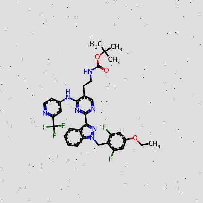 CCOc1cc(F)c(Cn2nc(-c3ncc(CCNC(=O)OC(C)(C)C)c(Nc4ccnc(C(F)(F)F)c4)n3)c3ccccc32)c(F)c1